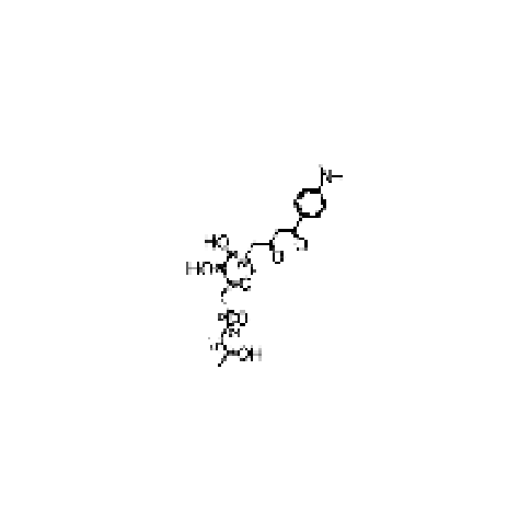 C[C@H]([C@@H]1O[C@H]1C[C@@H]1OC[C@H](CC(=O)CC(=O)c2ccc(N(C)C)cc2)[C@@H](O)[C@H]1O)[C@H](C)O